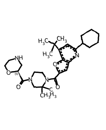 CC(C)(C)c1cc(C2CCCCC2)nc2cc(C(=O)N3CCN(C(=O)[C@@H]4CNCCO4)CC3(C)C)oc12